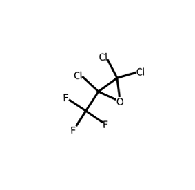 FC(F)(F)C1(Cl)OC1(Cl)Cl